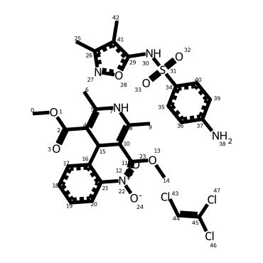 COC(=O)C1=C(C)NC(C)=C(C(=O)OC)C1c1ccccc1[N+](=O)[O-].Cc1noc(NS(=O)(=O)c2ccc(N)cc2)c1C.ClC=C(Cl)Cl